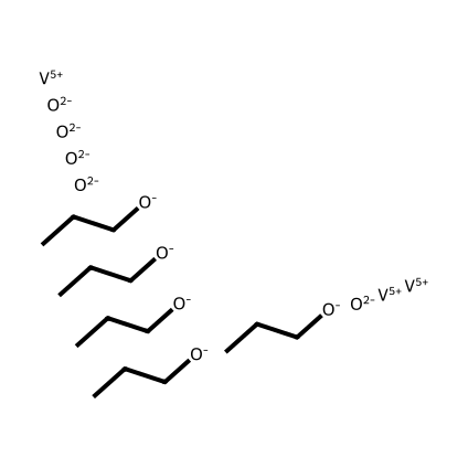 CCC[O-].CCC[O-].CCC[O-].CCC[O-].CCC[O-].[O-2].[O-2].[O-2].[O-2].[O-2].[V+5].[V+5].[V+5]